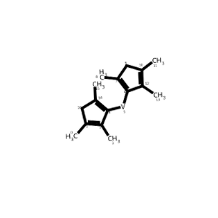 CC1=C(C)[C]([V][C]2=C(C)CC(C)=C2C)=C(C)C1